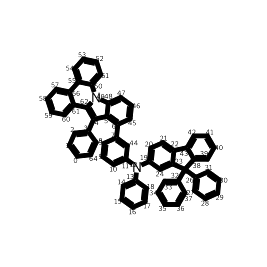 c1ccc(-c2c3c(-c4cccc(N(c5ccccc5)c5ccc6c(c5)C(c5ccccc5)(c5ccccc5)c5ccccc5-6)c4)cccc3n3c4ccccc4c4ccccc4c23)cc1